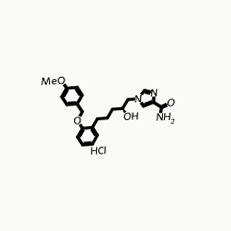 COc1ccc(COc2ccccc2CCC[C@H](O)Cn2cnc(C(N)=O)c2)cc1.Cl